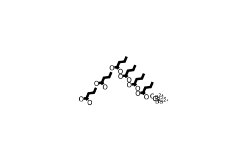 CCCC(=O)[O-].CCCC(=O)[O-].CCCC(=O)[O-].CCCC(=O)[O-].CCCC(=O)[O-].CCCC(=O)[O-].[Ba+2].[Ca+2].[Ca+2]